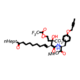 CC#CCOc1ccc(C[C@H](NC(=O)[C@@H](C=CCCCCCCC(=O)CCCCCCC)[C@@](O)(CCOC(=O)C(F)(F)F)C(=O)O)C(=O)OC)cc1